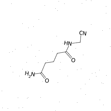 N#CCNC(=O)CCCC(N)=O